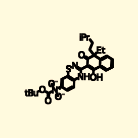 CCC1(CCC(C)C)C(=O)C(C2=NSc3cc([N+]([O-])([O-])C(=O)OC(C)(C)C)ccc3N2)=C(O)c2ccccc21